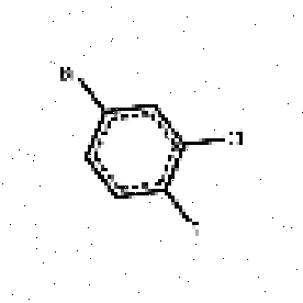 [S]c1ccc(Br)cc1Cl